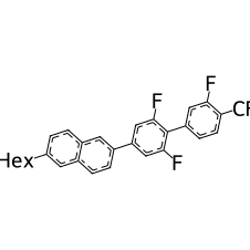 CCCCCCc1ccc2cc(-c3cc(F)c(-c4ccc(C(F)(F)F)c(F)c4)c(F)c3)ccc2c1